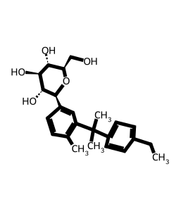 CCc1ccc(C(C)(C)c2cc([C@@H]3O[C@H](CO)[C@@H](O)[C@H](O)[C@H]3O)ccc2C)cc1